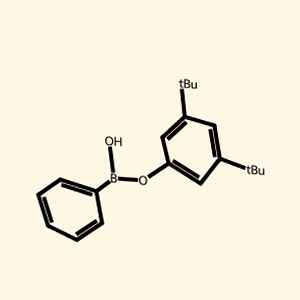 CC(C)(C)c1cc(OB(O)c2ccccc2)cc(C(C)(C)C)c1